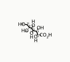 O=C(O)[C@H](O)[C@@H](O)[C@@H](O)[C@H](O)[C@H](O)CO